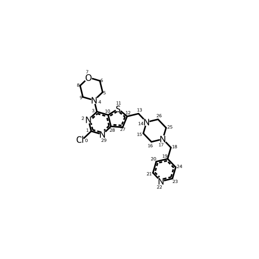 Clc1nc(N2CCOCC2)c2sc(CN3CCN(Cc4ccncc4)CC3)cc2n1